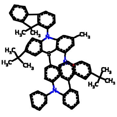 Cc1cc2c3c(c1)N(c1cccc4c1C(C)(C)c1ccccc1-4)c1ccc(C(C)(C)C)cc1B3c1ccc(N(c3ccccc3)c3ccccc3-c3ccccc3)cc1N2c1ccc(C(C)(C)C)cc1